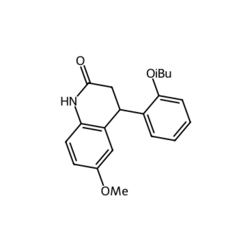 COc1ccc2c(c1)C(c1ccccc1OCC(C)C)CC(=O)N2